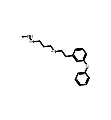 CNNCCCNCCc1cccc(Oc2ccccc2)c1